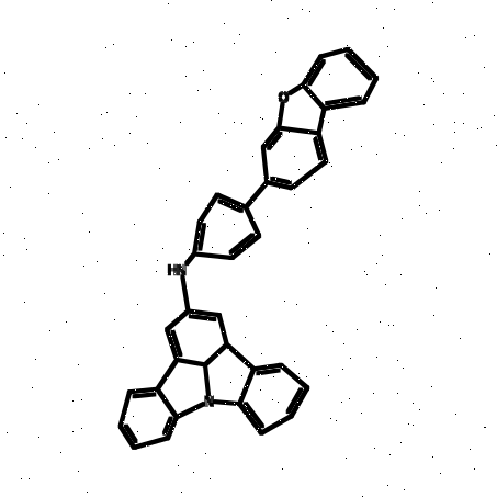 C1=C(Nc2ccc(-c3ccc4c(c3)oc3ccccc34)cc2)C=C2c3ccccc3N3c4ccccc4C1C23